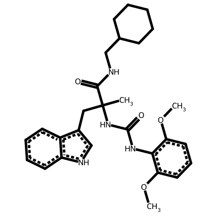 COc1cccc(OC)c1NC(=O)NC(C)(Cc1c[nH]c2ccccc12)C(=O)NCC1CCCCC1